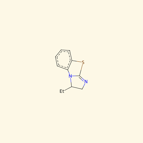 CCC1CN=C2Sc3ccccc3N21